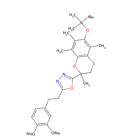 COc1ccc(CCc2nnc(C3(C)CSc4c(C)c(O[Si](C)(C)C(C)(C)C)c(C)c(C)c4O3)o2)cc1OC